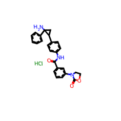 Cl.NC1(c2ccccc2)CC1c1ccc(NC(=O)c2cccc(N3CCOC3=O)c2)cc1